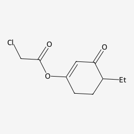 CCC1CCC(OC(=O)CCl)=CC1=O